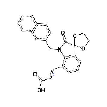 O=C(O)/C=C/c1cccc2c1N(Cc1ccc3ccccc3c1)C(=O)C21OCCO1